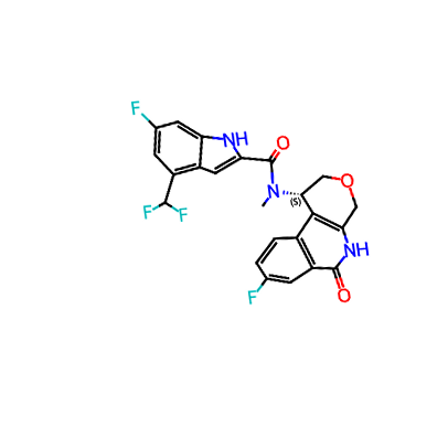 CN(C(=O)c1cc2c(C(F)F)cc(F)cc2[nH]1)[C@@H]1COCc2[nH]c(=O)c3cc(F)ccc3c21